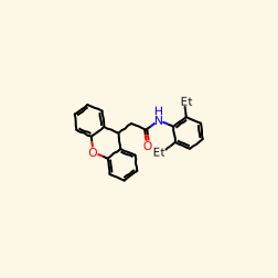 CCc1cccc(CC)c1NC(=O)CC1c2ccccc2Oc2ccccc21